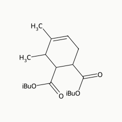 CC1=CCC(C(=O)OCC(C)C)C(C(=O)OCC(C)C)C1C